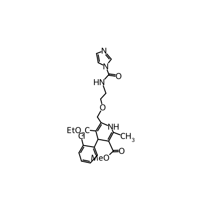 CCOC(=O)C1=C(COCCNC(=O)n2ccnc2)NC(C)=C(C(=O)OC)C1c1ccccc1Cl